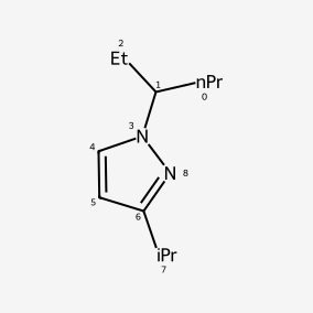 CCCC(CC)n1ccc(C(C)C)n1